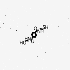 O=C(NCCO)c1ccc(C(=O)NCCS)cc1